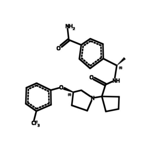 C[C@H](NC(=O)C1(N2CC[C@@H](Oc3cccc(C(F)(F)F)c3)C2)CCC1)c1ccc(C(N)=O)cc1